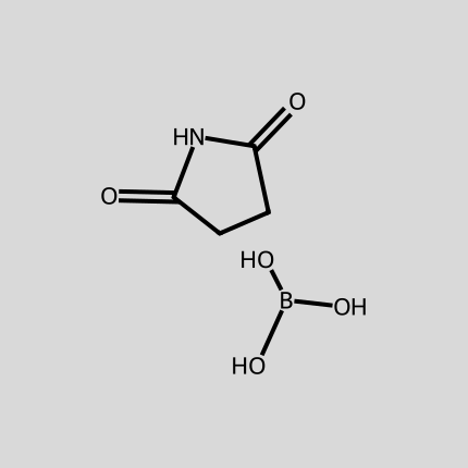 O=C1CCC(=O)N1.OB(O)O